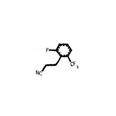 N#CCCc1c(F)cccc1C(F)(F)F